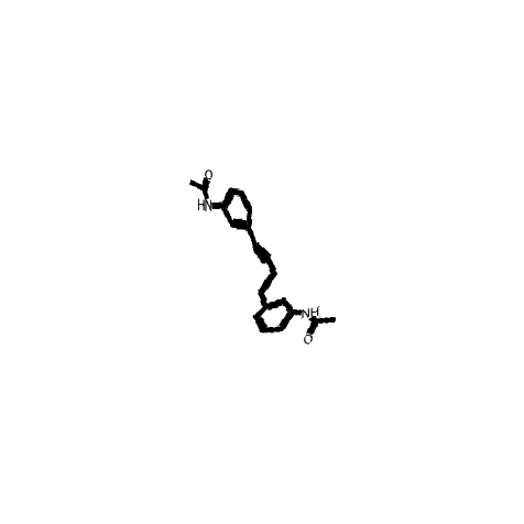 CC(=O)Nc1cccc(C#CC=Cc2cccc(NC(C)=O)c2)c1